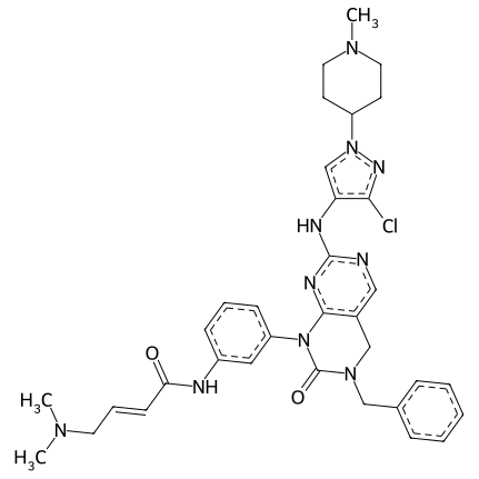 CN(C)C/C=C/C(=O)Nc1cccc(N2C(=O)N(Cc3ccccc3)Cc3cnc(Nc4cn(C5CCN(C)CC5)nc4Cl)nc32)c1